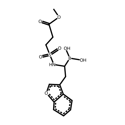 COC(=O)CCS(=O)(=O)NC(Cc1coc2ccccc12)B(O)O